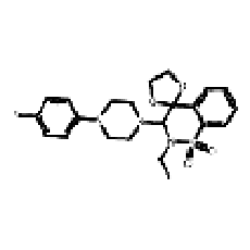 CCN1C(N2CCN(c3ccc(F)cc3)CC2)C2(OCCO2)c2ccccc2S1(=O)=O